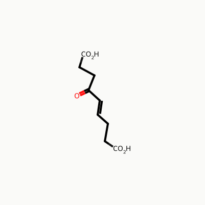 O=C(O)CCC=CC(=O)CCC(=O)O